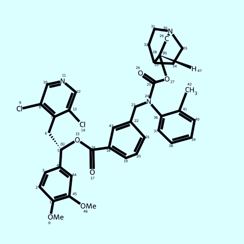 COc1ccc([C@H](Cc2c(Cl)cncc2Cl)OC(=O)c2cccc(CN(C(=O)O[C@H]3CN4CCC3CC4)c3ccccc3C)c2)cc1OC